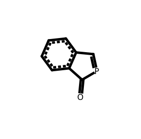 O=C1P=Cc2ccccc21